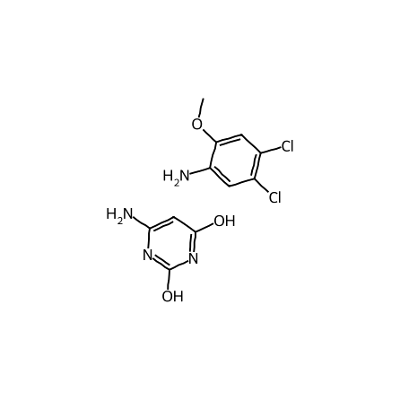 COc1cc(Cl)c(Cl)cc1N.Nc1cc(O)nc(O)n1